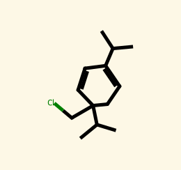 CC(C)C1=CCC(CCl)(C(C)C)C=C1